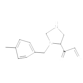 O=CC(=O)C1CNCN1Cc1ccc(Cl)cc1